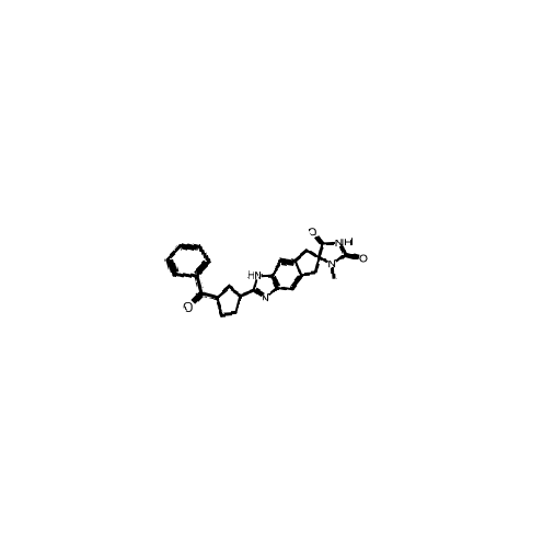 CN1C(=O)NC(=O)C12Cc1cc3nc(C4CCC(C(=O)c5ccccc5)C4)[nH]c3cc1C2